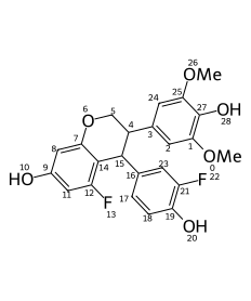 COc1cc(C2COc3cc(O)cc(F)c3C2c2ccc(O)c(F)c2)cc(OC)c1O